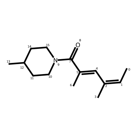 C/C=C(C)\C=C(/C)C(=O)N1CCC(C)CC1